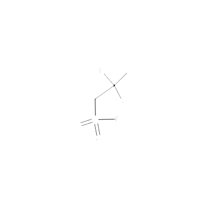 CCC(F)(F)CS(=O)(=O)F